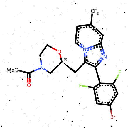 COC(=O)N1CCO[C@@H](Cc2c(-c3c(F)cc(Br)cc3F)nc3cc(C(F)(F)F)ccn23)C1